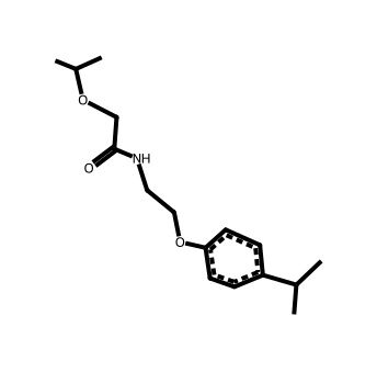 CC(C)OCC(=O)NCCOc1ccc(C(C)C)cc1